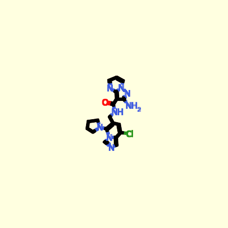 Nc1nn2cccnc2c1C(=O)NCc1cc(Cl)c2cncn2c1N1CCCC1